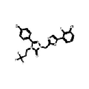 O=c1n(Cc2ncc(-c3cccc(Cl)c3F)s2)nc(-c2ccc(Cl)cc2)n1CCC(F)(F)F